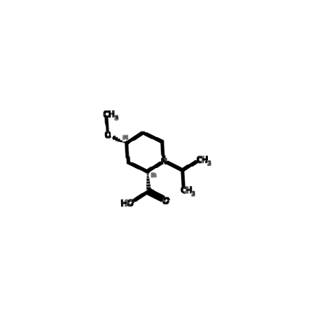 CO[C@@H]1CCN(C(C)C)[C@H](C(=O)O)C1